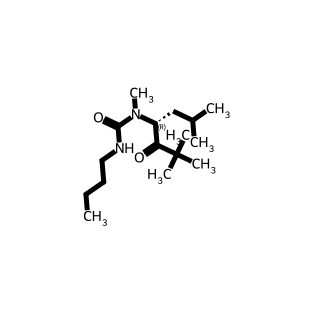 CCCCNC(=O)N(C)[C@H](CC(C)C)C(=O)C(C)(C)C